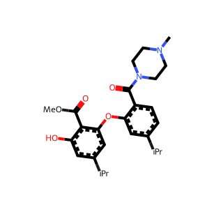 COC(=O)c1c(O)cc(C(C)C)cc1Oc1cc(C(C)C)ccc1C(=O)N1CCN(C)CC1